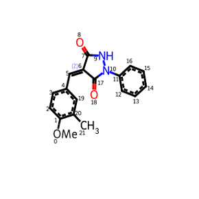 COc1ccc(/C=C2/C(=O)NN(c3ccccc3)C2=O)cc1C